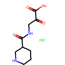 Cl.O=C(O)C(=O)CNC(=O)C1CCCNC1